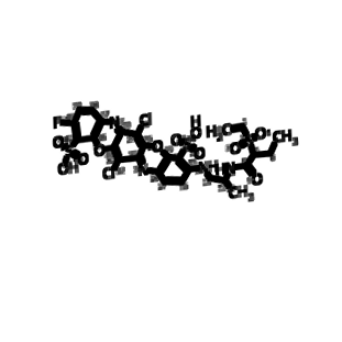 C=CS(=O)(=O)C(CC)C(=O)NC(C)CNc1ccc2c(c1S(=O)(=O)O)Oc1c(Cl)c3c(c(Cl)c1=N2)Oc1c(ccc(F)c1S(=O)(=O)O)N=3